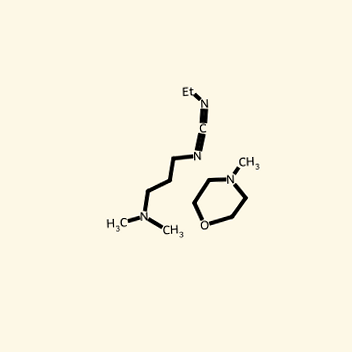 CCN=C=NCCCN(C)C.CN1CCOCC1